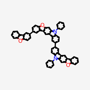 c1ccc(-n2c3ccc(-c4ccc5c(c4)c4cc6c(cc4n5-c4ccccc4)oc4ccc(-c5ccc7oc8ccccc8c7c5)cc46)cc3c3cc4c(cc32)oc2ccccc24)cc1